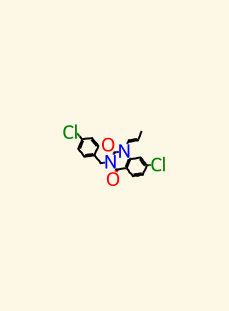 CC=Cn1c(=O)n(Cc2ccc(Cl)cc2)c(=O)c2ccc(Cl)cc21